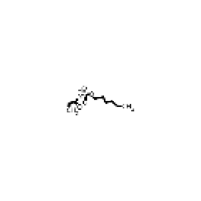 C=CC(=O)NS(=O)(=O)OCCCCCC